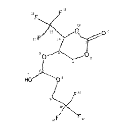 O=C1OCC(OC(O)OCC(F)(F)F)C(C(F)(F)F)O1